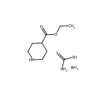 CCOC(=O)C1CCNCC1.NC(=S)S.[BiH3]